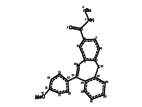 CCCCNC(=O)c1ccc2c(c1)N=C(c1ccc(OC)cc1)c1ccccc1S2